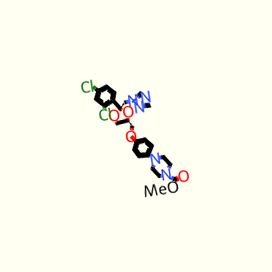 COC(=O)N1CCN(c2ccc(OC[C@@H]3CO[C@@](Cn4cncn4)(c4ccc(Cl)cc4Cl)O3)cc2)CC1